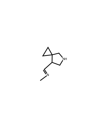 C/N=C/C1CNCC12CC2